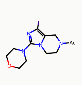 CC(=O)N1CCn2c(N3CCOCC3)nc(I)c2C1